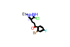 CCN/C=C(/CCC(=O)c1ccc(F)cc1Br)C(=N)Cl